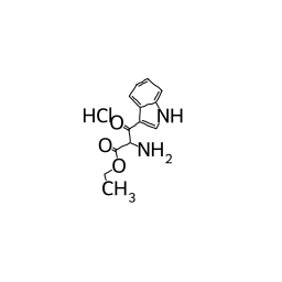 CCOC(=O)C(N)C(=O)c1c[nH]c2ccccc12.Cl